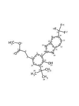 COC(=O)CCc1cc(-n2nc3ccc(C(F)(F)F)cc3n2)c(O)c(C(C)(C)C)c1